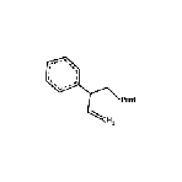 C=CC(CCCCCC)c1ccccc1